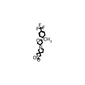 CC1([C@@H]2C[C@H](N3CCC4(C3)CS(=O)(=O)C4)CO2)C=CC(C(F)(F)F)=CC1